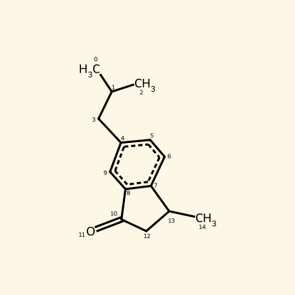 CC(C)Cc1ccc2c(c1)C(=O)CC2C